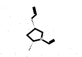 C=CC[C@H]1C[C@@H](C)N(C=C)C1